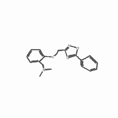 CN(C)c1ccccc1SCc1noc(-c2ccccc2)n1